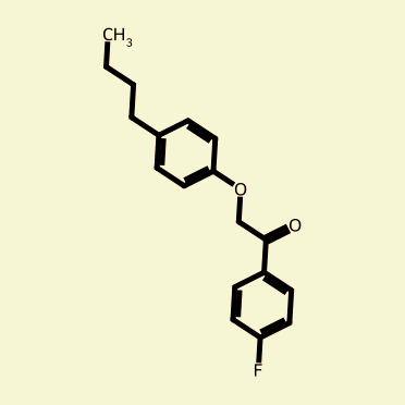 CCCCc1ccc(OCC(=O)c2ccc(F)cc2)cc1